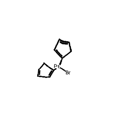 [Br][Pt]([C]1=CC=CC1)[C]1=CC=CC1